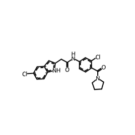 O=C(Cc1cc2cc(Cl)ccc2[nH]1)Nc1ccc(C(=O)N2CCCC2)c(Cl)c1